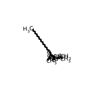 CCCCCCCCCCCCCCCCCCOCC(COP(=O)(O)OCC[N+](C)(C)C)OC(=O)CC